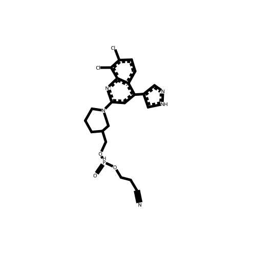 N#CCCO[PH](=O)OCC1CCCN(c2cc(-c3cn[nH]c3)c3ccc(Cl)c(Cl)c3n2)C1